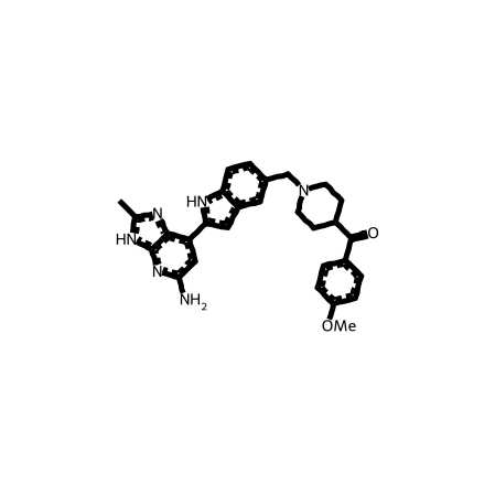 COc1ccc(C(=O)C2CCN(Cc3ccc4[nH]c(-c5cc(N)nc6[nH]c(C)nc56)cc4c3)CC2)cc1